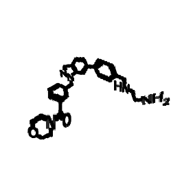 NCCNCc1ccc(-c2ccc3cnn(Cc4cccc(C(=O)N5CCOCC5)c4)c3c2)cc1